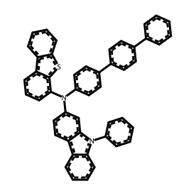 c1ccc(-c2ccc(-c3ccc(N(c4ccc5c6ccccc6n(-c6ccccc6)c5c4)c4cccc5c4sc4ccccc45)cc3)cc2)cc1